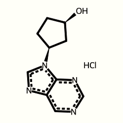 Cl.O[C@@H]1CC[C@H](n2cnc3cncnc32)C1